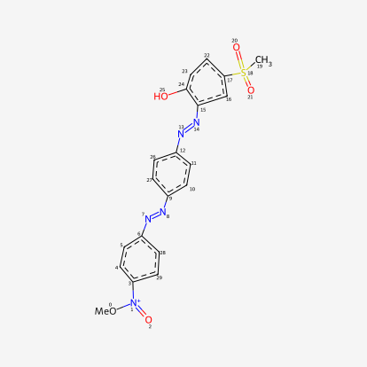 CO[N+](=O)c1ccc(/N=N/c2ccc(/N=N/c3cc(S(C)(=O)=O)ccc3O)cc2)cc1